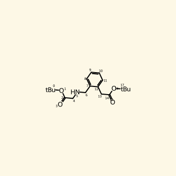 CC(C)(C)OC(=O)CNCc1ccccc1CC(=O)OC(C)(C)C